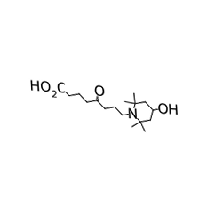 CC1(C)CC(O)CC(C)(C)N1CCCC(=O)CCCC(=O)O